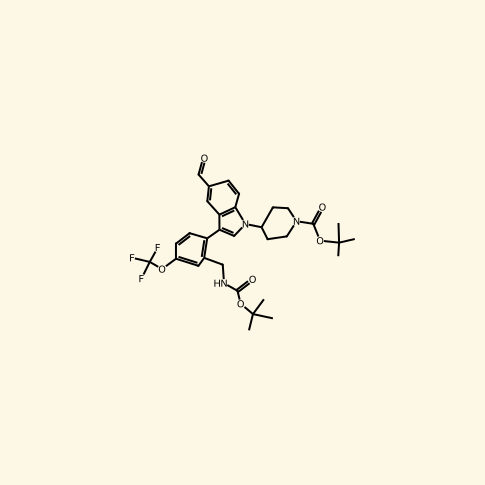 CC(C)(C)OC(=O)NCc1cc(OC(F)(F)F)ccc1-c1cn(C2CCN(C(=O)OC(C)(C)C)CC2)c2ccc(C=O)cc12